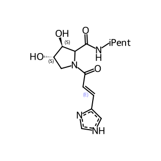 CCCC(C)NC(=O)C1[C@H](O)[C@@H](O)CN1C(=O)/C=C/c1c[nH]cn1